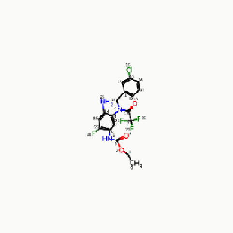 CCOC(=O)Nc1cc(N(Cc2cccc(Cl)c2)C(=O)C(F)(F)F)c(N)cc1F